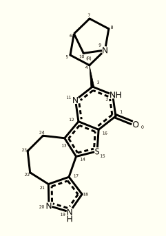 O=c1[nH]c([C@H]2CC3CCN2C3)nc2c3c(sc12)-c1c[nH]nc1CCC3